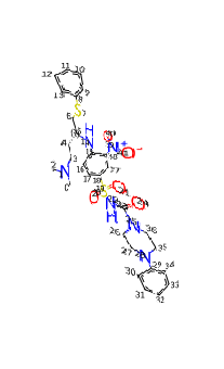 CN(C)CC[C@H](CSc1ccccc1)Nc1ccc(S(=O)(=O)NC(=O)N2CCN(c3ccccc3)CC2)cc1[N+](=O)[O-]